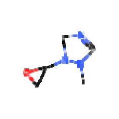 CN1C=NCN1C1CO1